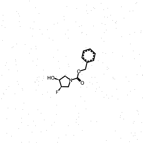 O=C(OCc1ccccc1)N1C[C@@H](F)[C@@H](O)C1